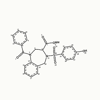 COC(=O)C1CN(C(=O)c2ccccc2)c2ccccc2CN1S(=O)(=O)c1ccc(O)cc1